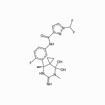 CN1C(=N)N[C@](C)(c2cc(NC(=O)c3ccn(C(F)F)n3)ccc2F)C2(CC2)S1(O)O